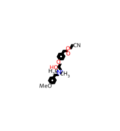 COc1ccc(CC[N+](C)(C)C[C@@H](O)COc2ccc(CC(=O)OCCC#N)cc2)cc1